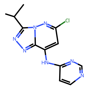 CC(C)c1nnc2c(Nc3ccncn3)cc(Cl)nn12